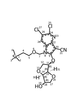 C[Si](C)(C)CCOCn1c(O[C@@H]2CO[C@H]3[C@@H]2OC[C@H]3O)c(C#N)c2nc(Cl)c(Cl)cc21